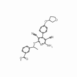 COC(=O)c1cccc(C(C)Sc2nc(N)c(C#N)c(-c3ccc(OC4CCOC4)cc3)c2C#N)c1